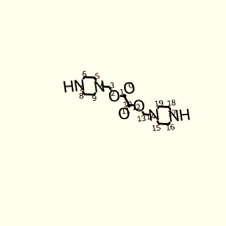 O=C(OCN1CCNCC1)C(=O)OCN1CCNCC1